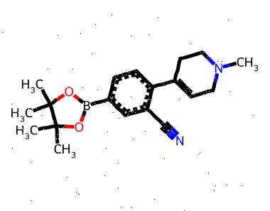 CN1CC=C(c2ccc(B3OC(C)(C)C(C)(C)O3)cc2C#N)CC1